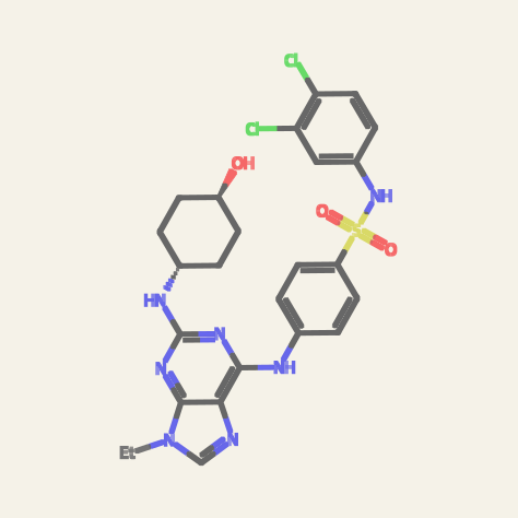 CCn1cnc2c(Nc3ccc(S(=O)(=O)Nc4ccc(Cl)c(Cl)c4)cc3)nc(N[C@H]3CC[C@H](O)CC3)nc21